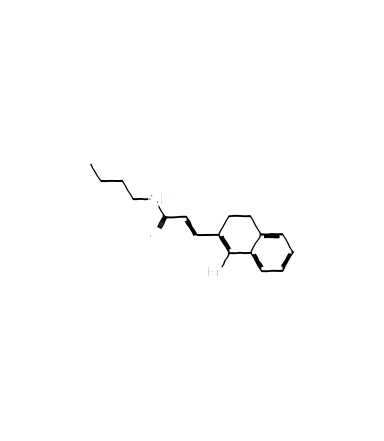 CCCCNC(=O)C=CC1=C(Br)c2ccccc2CC1